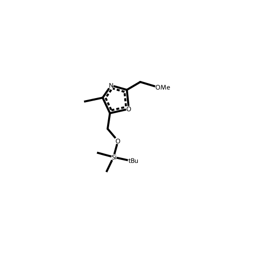 COCc1nc(C)c(CO[Si](C)(C)C(C)(C)C)o1